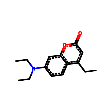 CCc1cc(=O)oc2cc(N(CC)CC)ccc12